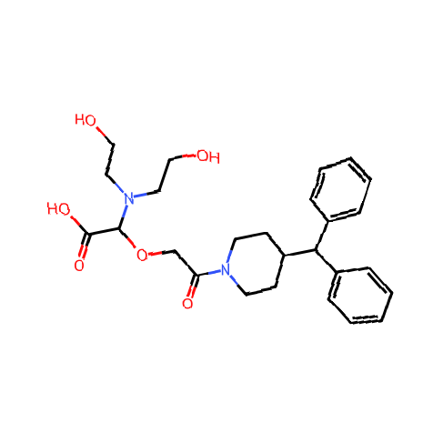 O=C(O)C(OCC(=O)N1CCC(C(c2ccccc2)c2ccccc2)CC1)N(CCO)CCO